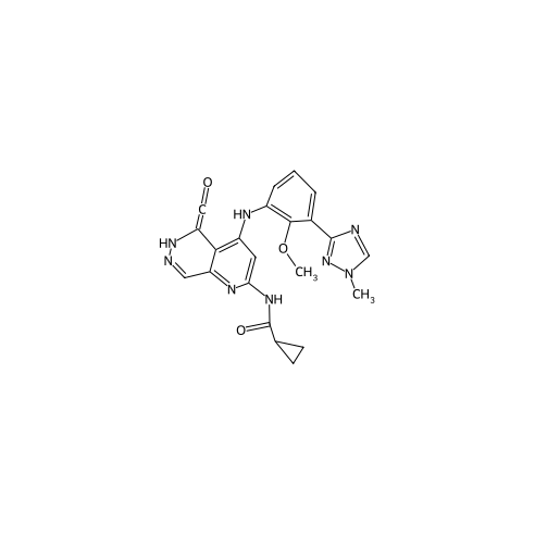 COc1c(Nc2cc(NC(=O)C3CC3)nc3c2C(=C=O)NN=C3)cccc1-c1ncn(C)n1